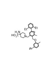 CCc1cccc(CC)c1-c1cc(CN2CCC(N)(C(=O)O)CC2)c(COc2cc(C(C)C)ccc2C)c(C)n1